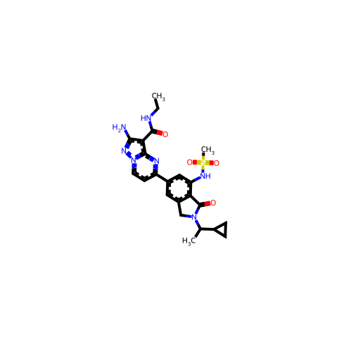 CCNC(=O)c1c(N)nn2ccc(-c3cc4c(c(NS(C)(=O)=O)c3)C(=O)N(C(C)C3CC3)C4)nc12